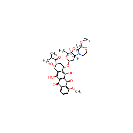 COc1cccc2c1C(=O)c1c(O)c3c(c(O)c1C2=O)C[C@@](O)(C(=O)C(C)C)C[C@@H]3OC1C[C@H]2[C@H](O[C@@H]3[C@@H](OC)OCCN32)[C@H](C)O1